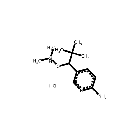 C[SiH](C)OC(c1ccc(N)nc1)C(C)(C)C.Cl